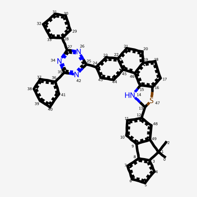 CC1(C)c2ccccc2-c2ccc(C3Nc4c(ccc5ccc6cc(-c7nc(-c8ccccc8)nc(-c8ccccc8)n7)ccc6c45)S3)cc21